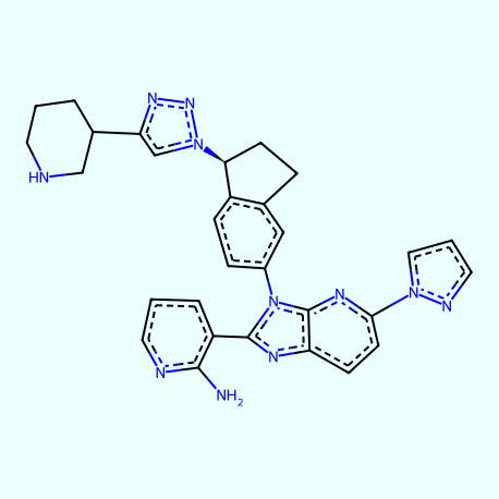 Nc1ncccc1-c1nc2ccc(-n3cccn3)nc2n1-c1ccc2c(c1)CC[C@@H]2n1cc(C2CCCNC2)nn1